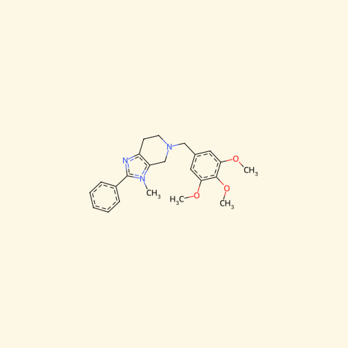 COc1cc(CN2CCc3nc(-c4ccccc4)n(C)c3C2)cc(OC)c1OC